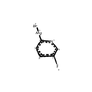 Fc1cc[c]([Mg][Br])nc1